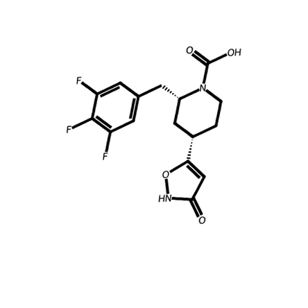 O=C(O)N1CC[C@H](c2cc(=O)[nH]o2)C[C@@H]1Cc1cc(F)c(F)c(F)c1